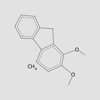 C.COc1ccc2c(c1OC)Cc1ccccc1-2